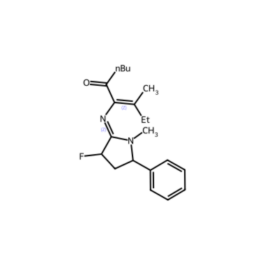 CCCCC(=O)C(/N=C1/C(F)CC(c2ccccc2)N1C)=C(\C)CC